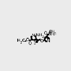 CCOC(=O)C1CN=C(N)c2c(COc3cncc(C(=O)NC)c3)csc21